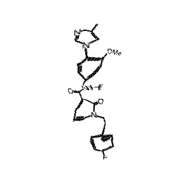 COc1cc(NC(=O)c2cccn(Cc3ccc(F)cc3)c2=O)ccc1-n1cnc(C)c1